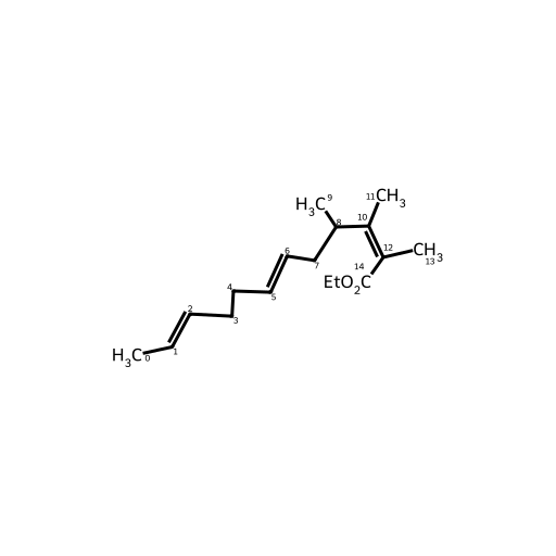 CC=CCCC=CCC(C)C(C)=C(C)C(=O)OCC